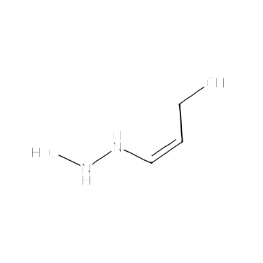 CC/C=C\NNC